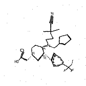 CC(C)(C#N)CCN(CC1CCCC1)[C@@H]1CC[C@@H](CC(=O)O)C[C@H]1c1ccc(C(F)(F)F)cc1